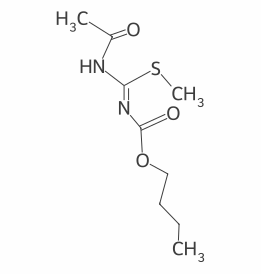 CCCCOC(=O)/N=C(/NC(C)=O)SC